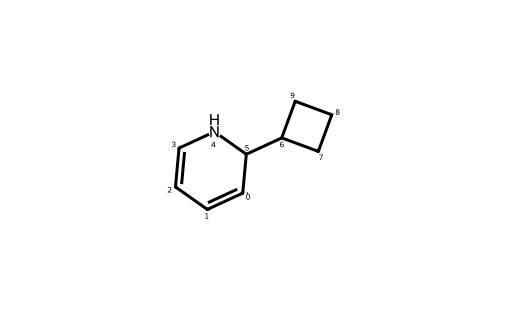 [C]1=CC=CNC1C1CCC1